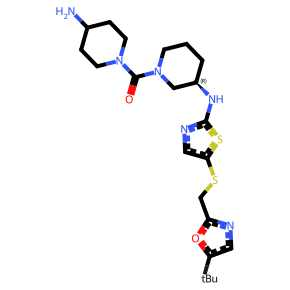 CC(C)(C)c1cnc(CSc2cnc(N[C@@H]3CCCN(C(=O)N4CCC(N)CC4)C3)s2)o1